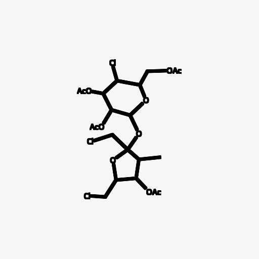 CC(=O)OCC1OC(OC2(CCl)OC(CCl)C(OC(C)=O)C2C)C(OC(C)=O)C(OC(C)=O)C1Cl